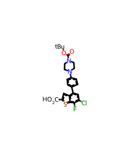 CC(C)(C)OC(=O)N1CCN(c2ccc(-c3cc(Cl)c(F)c4sc(C(=O)O)cc34)cc2)CC1